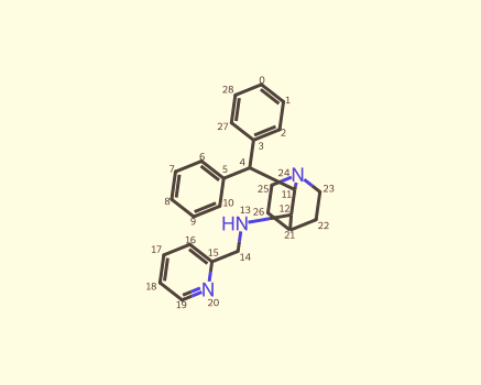 c1ccc(C(c2ccccc2)C2C(NCc3ccccn3)C3CCN2CC3)cc1